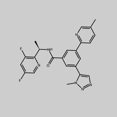 Cc1ccc(-c2cc(C(=O)N[C@H](C)c3ncc(F)cc3F)cc(-c3cnnn3C)c2)nc1